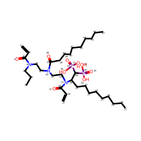 C=CC(=O)N(CCC)CCN(CCN(C(=O)C=C)C(CCCCCCCCC)C(P(=O)(O)O)P(=O)(O)O)C(=O)CCCCCCCCC